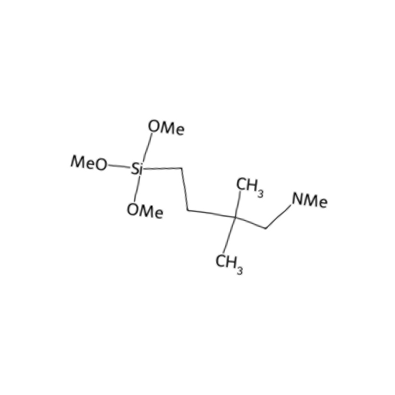 CNCC(C)(C)CC[Si](OC)(OC)OC